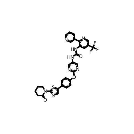 O=C(Nc1cnc(Oc2ccc(-c3cnc(N4CCCCC4=O)s3)cc2)nc1)Nc1cc(C(F)(F)F)cnc1-c1cccnc1